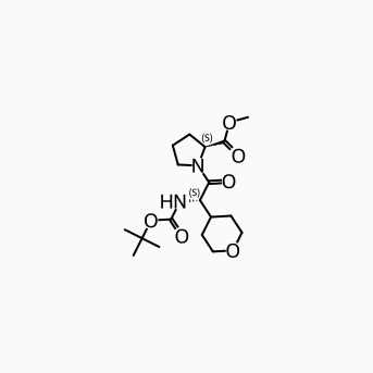 COC(=O)[C@@H]1CCCN1C(=O)[C@@H](NC(=O)OC(C)(C)C)C1CCOCC1